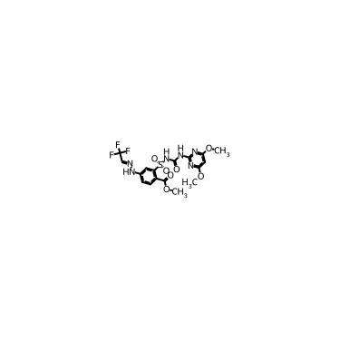 COC(=O)c1ccc(NN=CC(F)(F)F)cc1S(=O)(=O)NC(=O)Nc1nc(OC)cc(OC)n1